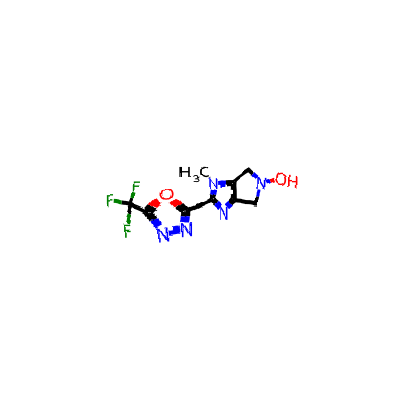 Cn1c(-c2nnc(C(F)(F)F)o2)nc2c1CN(O)C2